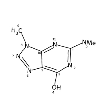 CNc1nc(O)c2nnn(C)c2n1